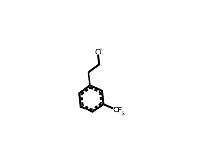 FC(F)(F)c1cccc(CCCl)c1